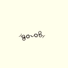 CC(C)COC(=O)c1ccc(C=Cc2ccc(C(=O)OCC(C)C)cc2)cc1